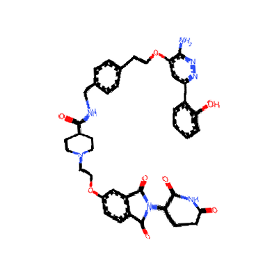 Nc1nnc(-c2ccccc2O)cc1OCCc1ccc(CNC(=O)C2CCN(CCOc3ccc4c(c3)C(=O)N(C3CCC(=O)NC3=O)C4=O)CC2)cc1